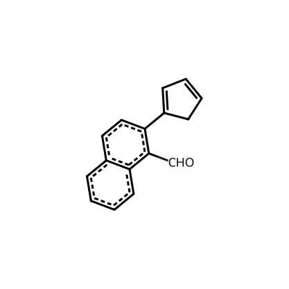 O=Cc1c(C2=CC=CC2)ccc2ccccc12